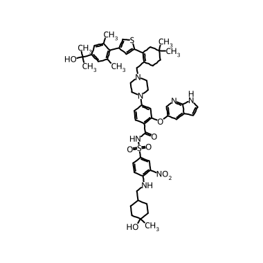 Cc1cc(C(C)(C)O)cc(C)c1-c1csc(C2=C(CN3CCN(c4ccc(C(=O)NS(=O)(=O)c5ccc(NCC6CCC(C)(O)CC6)c([N+](=O)[O-])c5)c(Oc5cnc6[nH]ccc6c5)c4)CC3)CCC(C)(C)C2)c1